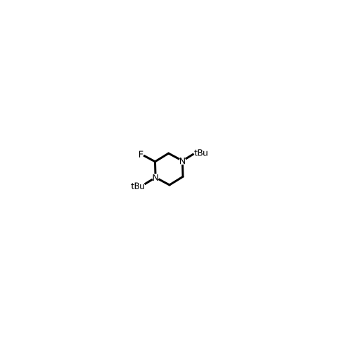 CC(C)(C)N1CCN(C(C)(C)C)C(F)C1